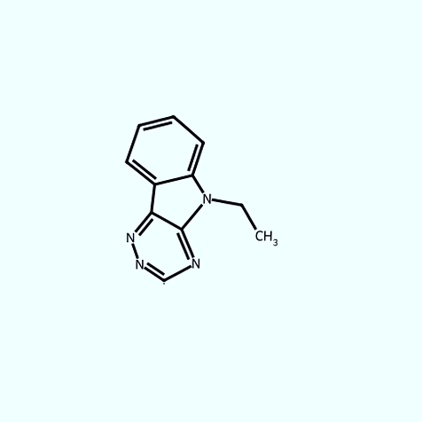 CCn1c2ccccc2c2nn[c]nc21